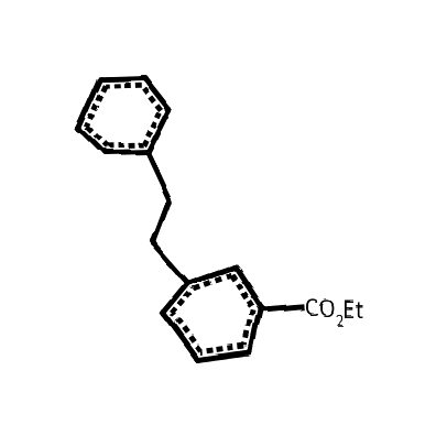 CCOC(=O)c1cccc(CCc2ccccc2)c1